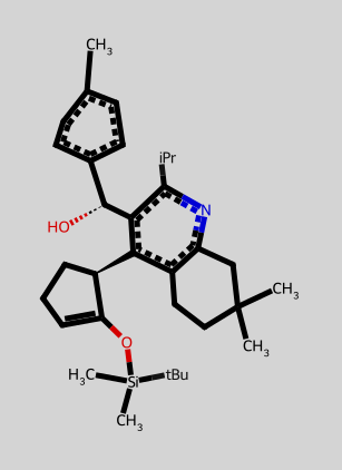 Cc1ccc([C@@H](O)c2c(C(C)C)nc3c(c2[C@@H]2CCC=C2O[Si](C)(C)C(C)(C)C)CCC(C)(C)C3)cc1